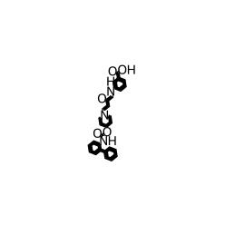 O=C(CCN1CCC(OC(=O)Nc2ccccc2-c2ccccc2)CC1)CNc1cccc(C(=O)O)c1